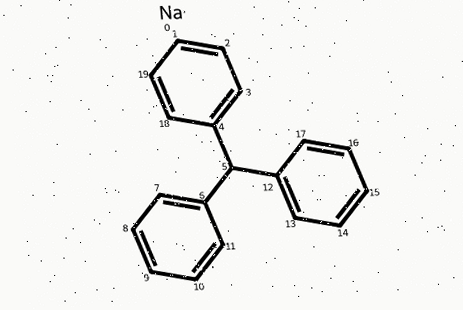 [Na].c1ccc(C(c2ccccc2)c2ccccc2)cc1